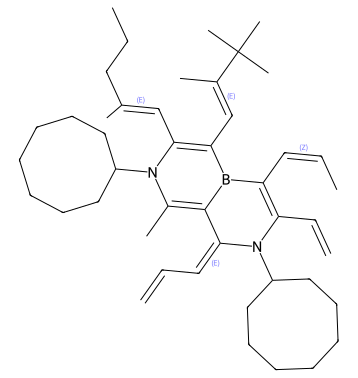 C=C/C=C1\C2=C(C)N(C3CCCCCCC3)C(/C=C(\C)CCC)=C(/C=C(\C)C(C)(C)C)B2C(/C=C\C)=C(C=C)N1C1CCCCCCC1